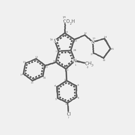 Cn1c(-c2ccc(Cl)cc2)c(-c2ccccc2)c2sc(C(=O)O)c(CN3CCCC3)c21